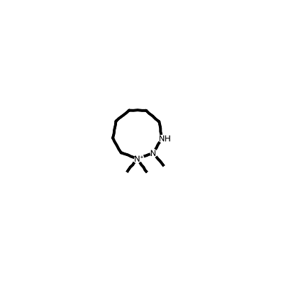 CN1NCCCCCC[N+]1(C)C